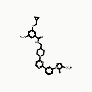 COc1cc(OCC2CC2)cc(C(=O)NCC2CCN(c3ccnc(-c4cccc(-n5ncc(C(=O)O)c5C)c4)n3)CC2)c1